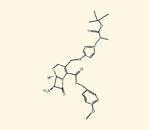 COc1ccc(COC(=O)C2=C(CSc3cc[n+](N(C)C(=O)OC(C)(C)C)cc3)CS[C@@H]3[C@H](N)C(=O)N23)cc1